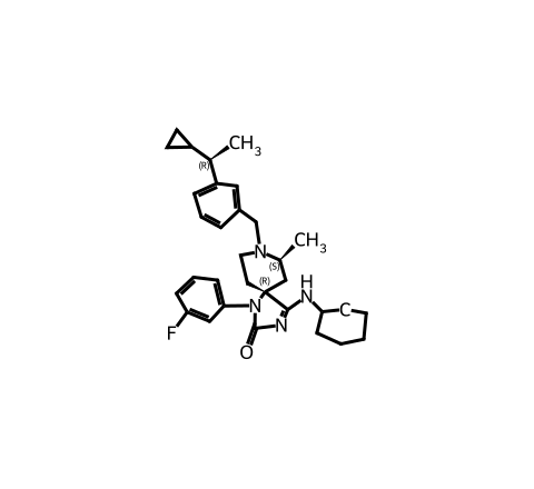 C[C@@H](c1cccc(CN2CC[C@@]3(C[C@@H]2C)C(NC2CCCCC2)=NC(=O)N3c2cccc(F)c2)c1)C1CC1